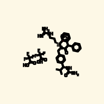 CC(C)C(NC(N)=O)c1ccc(CN(C(=O)C(c2ccccc2)c2ccccc2)[C@H](CCCNC(=N)N)C(N)=O)cc1.O=C(O)C(F)(F)F.O=C(O)C(F)(F)F